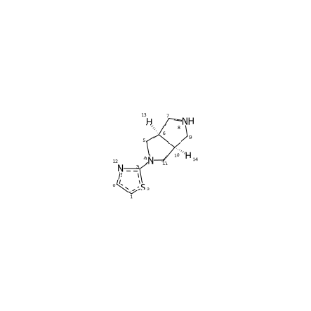 c1csc(N2C[C@H]3CNC[C@H]3C2)n1